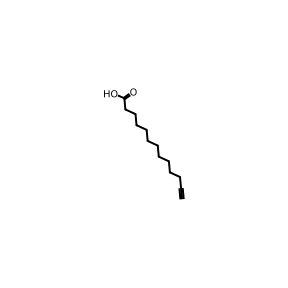 C#CCCCCCCCCCCC(=O)O